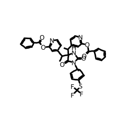 CC(c1ccnc(OC(=O)c2ccccc2)c1)C1(C(C)c2ccnc(OC(=O)c3ccccc3)c2)NC(=O)N(c2ccc(SC(F)(F)F)cc2)C1=O